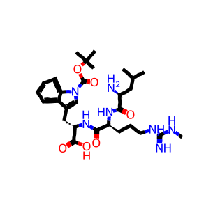 CNC(=N)NCCC[C@H](NC(=O)[C@@H](N)CC(C)C)C(=O)N[C@@H](Cc1cn(C(=O)OC(C)(C)C)c2ccccc12)C(=O)O